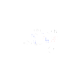 CCCCN(CCCC)c1nc(C(C)(C)C)c(/C=C2\C(=O)N(N(C)C(=O)c3ccccc3)C(O)C(C#N)=C2C)s1